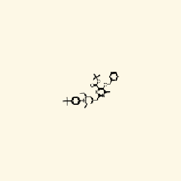 CCC(CC(C)Cc1nc(C)c(OCc2ccccc2)c(C(=O)OC(C)(C)C)n1)N(CC)c1ccc(C(C)(C)C)cc1